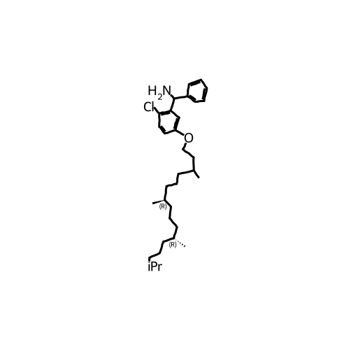 CC(C)CCC[C@@H](C)CCC[C@@H](C)CCCC(C)CCOc1ccc(Cl)c(C(N)c2ccccc2)c1